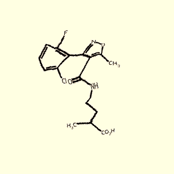 Cc1onc(-c2c(F)cccc2Cl)c1C(=O)NCCC(C)C(=O)O